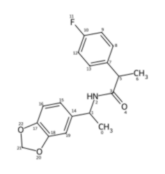 CC(NC(=O)C(C)c1ccc(F)cc1)c1ccc2c(c1)OCO2